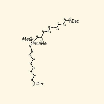 CCCCCCCCCCCCCCCCCCC[Si](CCCCCCCCCCCCCCCCCCC)(OC)OC